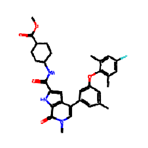 COC(=O)C1CCC(NC(=O)c2cc3c(-c4cc(C)cc(Oc5c(C)cc(F)cc5C)c4)cn(C)c(=O)c3[nH]2)CC1